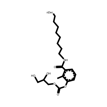 CCCCCCCCCCCCCCCCCCNC(=O)c1cccc(OC(=O)OCC(O)CO)c1C